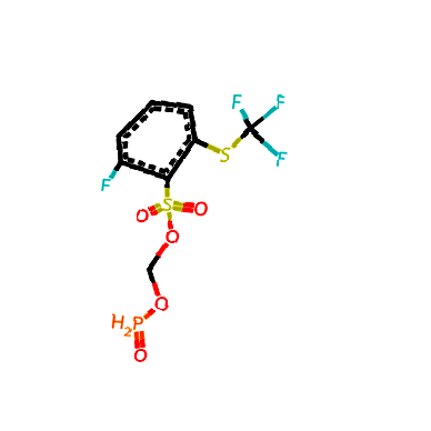 O=[PH2]OCOS(=O)(=O)c1c(F)cccc1SC(F)(F)F